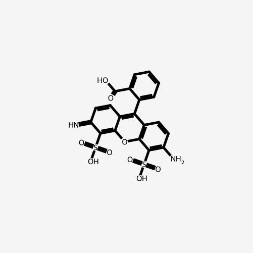 N=c1ccc2c(-c3ccccc3C(=O)O)c3ccc(N)c(S(=O)(=O)O)c3oc-2c1S(=O)(=O)O